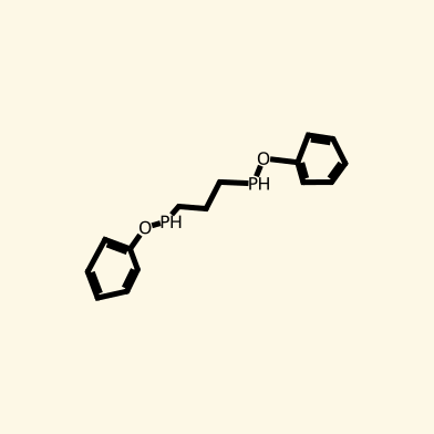 c1ccc(OPCCCPOc2ccccc2)cc1